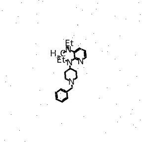 CCN(C)c1cccnc1N(CC)C1CCN(Cc2ccccc2)CC1